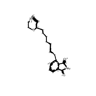 O=C1NC(=O)c2c(CCCCCCCC3CNCCO3)cccc21